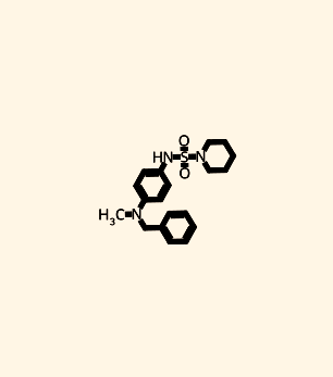 CN(Cc1ccccc1)c1ccc(NS(=O)(=O)N2CCCCC2)cc1